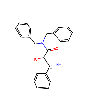 N[C@H](c1ccccc1)C(O)C(=O)N(Cc1ccccc1)Cc1ccccc1